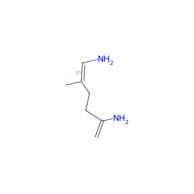 C=C(N)CC/C(C)=C\N